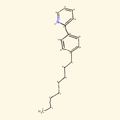 CCCCCCCCc1ccc(-c2ccccn2)cc1